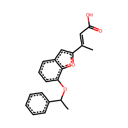 CC(=CC(=O)O)c1cc2cccc(OC(C)c3ccccc3)c2o1